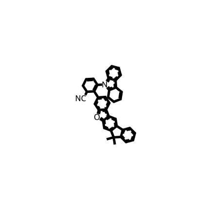 CC1(C)c2ccccc2-c2cc3c(cc21)oc1cc(C2=C(n4c5c(c6ccccc64)C=CCC5)C=CCC2C#N)ccc13